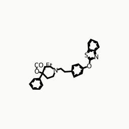 CCOC(=O)OC1(c2ccccc2)CCN(CCc2ccc(Oc3nc4ccccc4s3)cc2)CC1